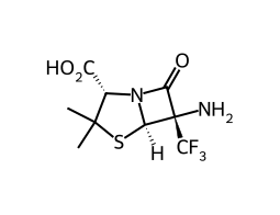 CC1(C)S[C@H]2N(C(=O)[C@@]2(N)C(F)(F)F)[C@H]1C(=O)O